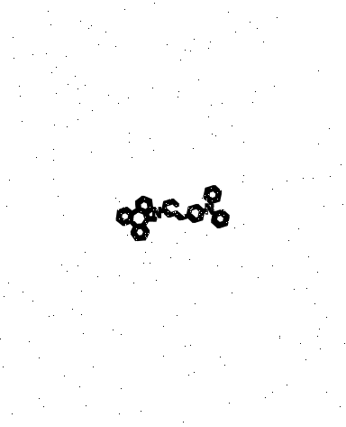 C\C=C/C(=C\C=C\C1=CC=C(N(c2ccccc2)c2ccccc2)CC1)n1cc2c3c(cccc31)-c1ccccc1-c1ccccc1-2